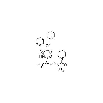 CN(CCN(C)C(=O)N1CCCCC1)C(=O)N[C@@H](Cc1ccccc1)C(=O)OCc1ccccc1